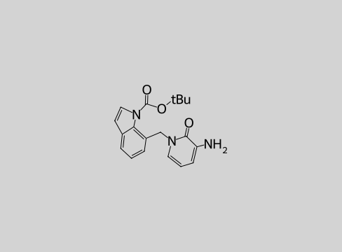 CC(C)(C)OC(=O)n1ccc2cccc(Cn3cccc(N)c3=O)c21